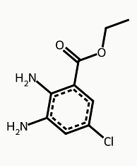 CCOC(=O)c1cc(Cl)cc(N)c1N